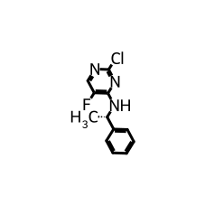 C[C@H](Nc1nc(Cl)ncc1F)c1ccccc1